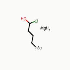 CCCCCCCC(O)Cl.[MgH2]